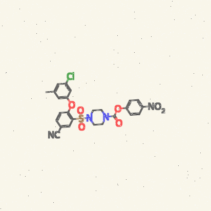 Cc1cc(Cl)cc(Oc2ccc(C#N)cc2S(=O)(=O)N2CCN(C(=O)Oc3ccc([N+](=O)[O-])cc3)CC2)c1